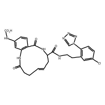 O=C(O)Nc1ccc2c(c1)NC(=O)CC/C=C/CC(C(=O)NCCc1cc(Cl)ccc1-n1cnnn1)NC2=O